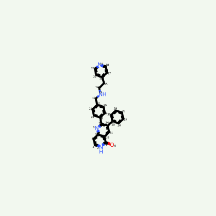 O=c1[nH]ccc2nc(-c3ccc(CNCCc4ccncc4)cc3)c(-c3ccccc3)cc12